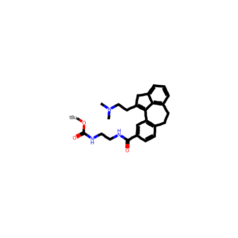 CN(C)CCC1=C2c3cc(C(=O)NCCNC(=O)OC(C)(C)C)ccc3CCc3cccc(c32)C1